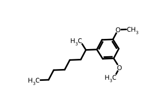 CCCCCCC(C)c1cc(OC)cc(OC)c1